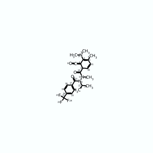 CC1=C(N(C)C)C(=C=O)C(C(=O)N(C)N(C(=O)c2ccc(C(F)(F)F)cc2)C(C)C)C=C1